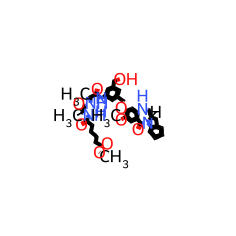 COC(=O)CCCCC(=O)N[C@@H](C)C(=O)N[C@@H](C)C(=O)Nc1cc(CO)cc(COc2cc3c(cc2OC)C(=O)N2c4ccccc4C[C@H]2CN3)c1